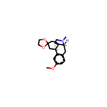 COc1ccc2c(c1)[C@]13CCN(C)[C@H](C2)C1=CCC1(C3)OCCO1